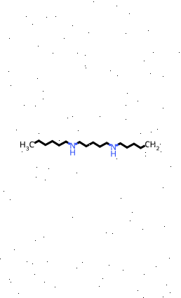 [CH2]CCCCNCCCCCNCCCCCC